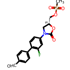 CS(=O)(=O)OC[C@H]1CN(c2ccc(-c3ccc(C=O)cc3)c(F)c2)C(=O)O1